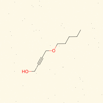 CCCCCOCC#CCO